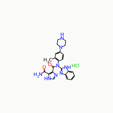 Cc1cc(N2CCNCC2)ccc1N(C(=O)c1nc[nH]c1C(N)=O)c1nc2ccccc2[nH]1.Cl